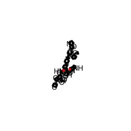 CC(C)Oc1ccccc1[C@@H]1CN([C@@H]2COc3cccnc3C2)CCN1C1CC2(CCN(c3ccc(C(=O)NS(=O)(=O)c4cc5c(c([N+](=O)[O-])c4)N[C@H](C4CCOCC4)CO5)c(N4c5cc6cc[nH]c6nc5O[C@H]5COCC[C@@H]54)c3)CC2)C1